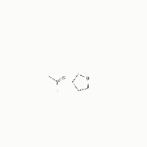 C1CCOC1.C=C(C)C